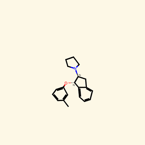 Cc1cccc(O[C@H]2c3ccccc3C[C@@H]2N2CCCC2)c1